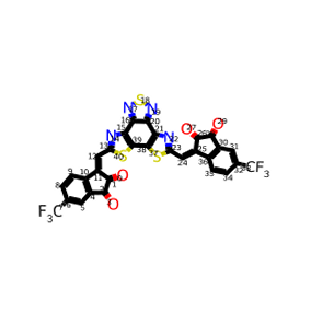 O=C1C(=O)c2cc(C(F)(F)F)ccc2/C1=C/c1nc2c3nsnc3c3nc(/C=C4\C(=O)C(=O)c5cc(C(F)(F)F)ccc54)sc3c2s1